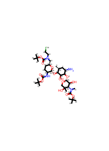 C[C@H]1C[C@@H](N)C(O[C@H]2OCC(C)(O)[C@H](N(C)C(=O)OC(C)(C)C)C2O)C(O)C1O[C@H]1O[C@H](CN(CCF)C(=O)OC(C)(C)C)CCC1NC(=O)OC(C)(C)C